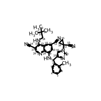 Cc1ccccc1[C@H](Nc1cc(C#N)cc2c(NCC(C)(C)C)c(C#N)cnc12)c1cn(C2(C#N)CC2)nn1